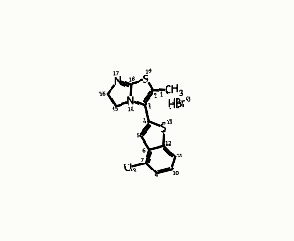 Br.CC1=C(c2cc3c(Cl)cccc3s2)N2CCN=C2S1